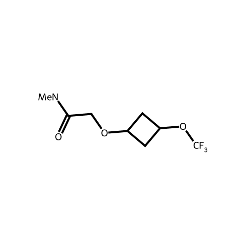 CNC(=O)COC1CC(OC(F)(F)F)C1